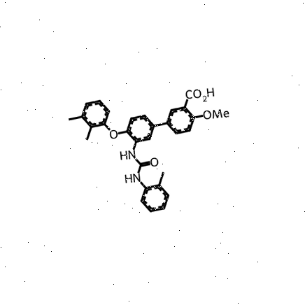 COc1ccc(-c2ccc(Oc3cccc(C)c3C)c(NC(=O)Nc3ccccc3C)c2)cc1C(=O)O